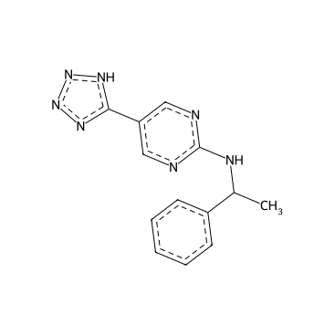 CC(Nc1ncc(-c2nnn[nH]2)cn1)c1ccccc1